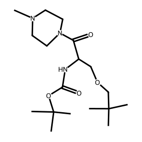 CN1CCN(C(=O)C(COCC(C)(C)C)NC(=O)OC(C)(C)C)CC1